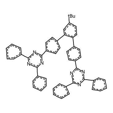 CC(C)(C)c1ccc(-c2ccc(-c3nc(-c4ccccc4)nc(-c4ccccc4)n3)cc2)c(-c2ccc(-c3nc(-c4ccccc4)nc(-c4ccccc4)n3)cc2)c1